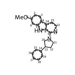 COc1ccc2c(c1)[nH]c1c(N3CCC(c4ccccc4)C3)nccc12